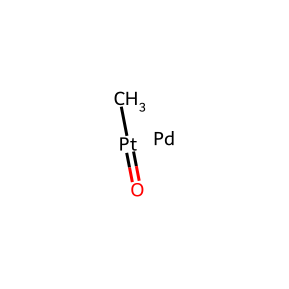 [CH3][Pt]=[O].[Pd]